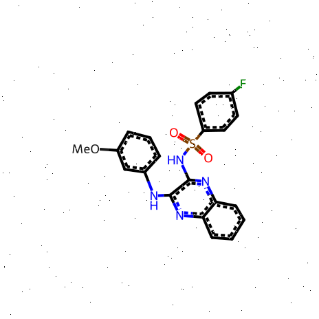 COc1cccc(Nc2nc3ccccc3nc2NS(=O)(=O)c2ccc(F)cc2)c1